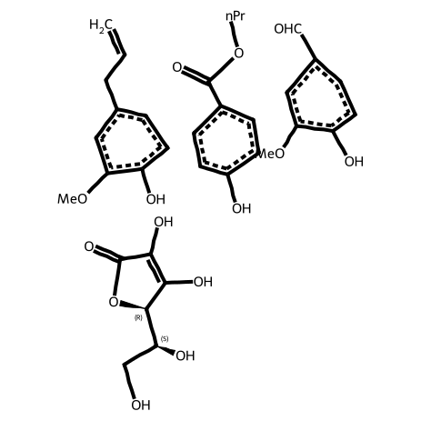 C=CCc1ccc(O)c(OC)c1.CCCOC(=O)c1ccc(O)cc1.COc1cc(C=O)ccc1O.O=C1O[C@H]([C@@H](O)CO)C(O)=C1O